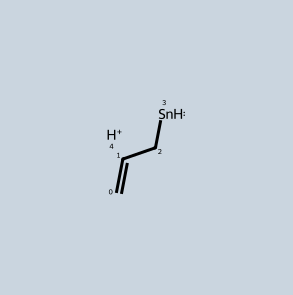 C=C[CH2][SnH].[H+]